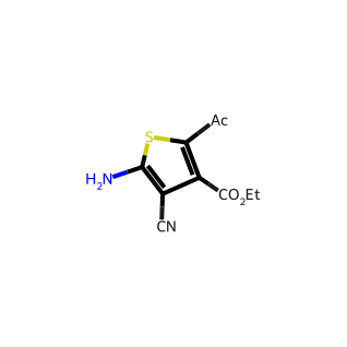 CCOC(=O)c1c(C(C)=O)sc(N)c1C#N